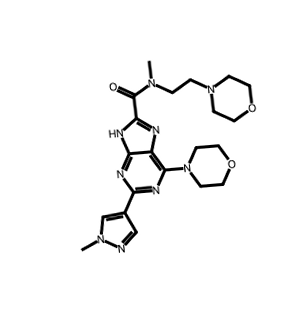 CN(CCN1CCOCC1)C(=O)c1nc2c(N3CCOCC3)nc(-c3cnn(C)c3)nc2[nH]1